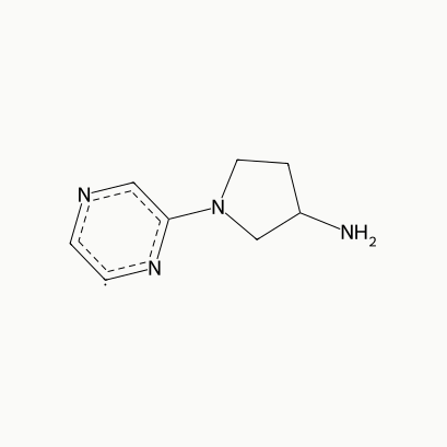 NC1CCN(c2cnc[c]n2)C1